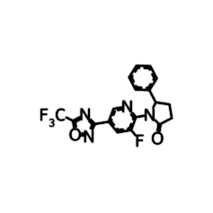 O=C1CCC(c2ccccc2)N1c1ncc(-c2noc(C(F)(F)F)n2)cc1F